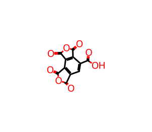 O=C(O)c1cc2c(=O)oc(=O)c2c2c(=O)oc(=O)c12